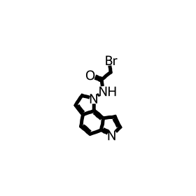 O=C(CBr)NN1CC=c2ccc3c(c21)C=CN=3